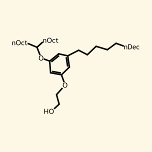 CCCCCCCCCCCCCCCc1cc(OCCO)cc(OC(CCCCCCCC)CCCCCCCC)c1